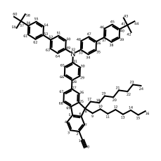 C#Cc1ccc2c(c1)C(CCCCCCCC)(CCCCCCCC)c1cc(-c3ccc(N(c4ccc(-c5ccc(C(C)(C)C)cc5)cc4)c4ccc(-c5ccc(C(C)(C)C)cc5)cc4)cc3)ccc1-2